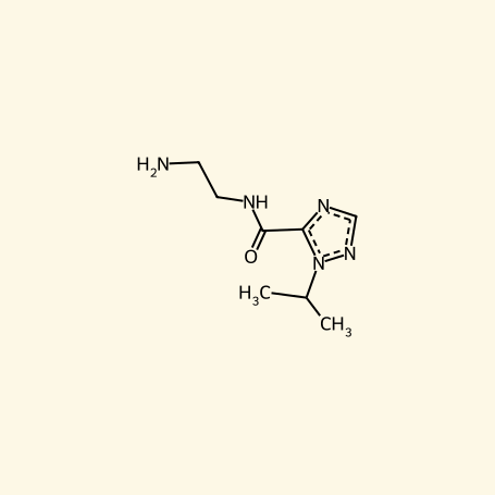 CC(C)n1ncnc1C(=O)NCCN